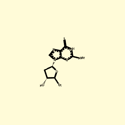 CCC1O[C@@H](n2cnc3c(=S)[nH]c(NC)nc32)C[C@H]1O